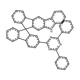 c1ccc(-c2nc(-c3ccccc3)nc(-c3ccc4c(c3)C3(c5ccccc5-4)c4ccccc4-c4cc5c(cc43)[nH]c3ccccc35)n2)cc1